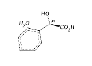 O.O=C(O)[C@H](O)c1ccccc1